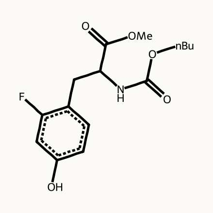 CCCCOC(=O)NC(Cc1ccc(O)cc1F)C(=O)OC